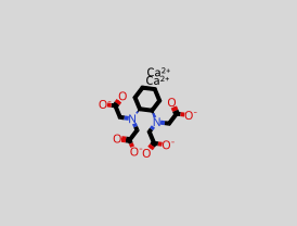 O=C([O-])CN(CC(=O)[O-])[C@@H]1CCCC[C@H]1N(CC(=O)[O-])CC(=O)[O-].[Ca+2].[Ca+2]